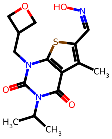 Cc1c(/C=N\O)sc2c1c(=O)n(C(C)C)c(=O)n2CC1COC1